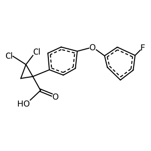 O=C(O)C1(c2ccc(Oc3cccc(F)c3)cc2)CC1(Cl)Cl